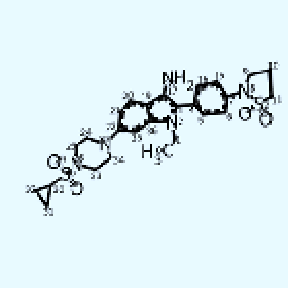 CCn1c(-c2ccc(N3CCCS3(=O)=O)cc2)c(N)c2ccc(N3CCN(S(=O)(=O)C4CC4)CC3)cc21